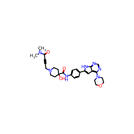 CN(C)C(=O)C#CCN1CCC(O)(C(=O)Nc2ccc(-c3cc4c(N5CCOCC5)ncnc4[nH]3)cc2)CC1